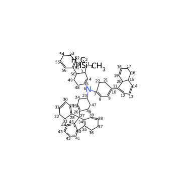 C[SiH](C)C1C=C(N(C2=CC=C(C3=CC=CC4CCC=CC34)CC2)C2CC=C(C3(C4=CC=CCC4)C4=C(CCC=C4)c4ccccc43)CC2)CCC1C1=CCCC=C1